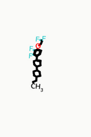 CCCC1CCC(C2CC=C(c3ccc(OCC(F)F)c(F)c3F)CC2)CC1